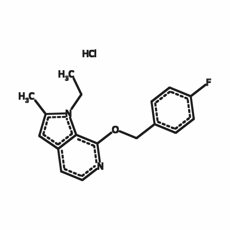 CCn1c(C)cc2ccnc(OCc3ccc(F)cc3)c21.Cl